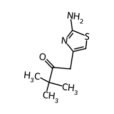 CC(C)(C)C(=O)Cc1csc(N)n1